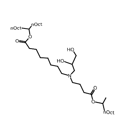 CCCCCCCCC(C)OC(=O)CCCN(CCCCCCCC(=O)OC(CCCCCCCC)CCCCCCCC)CC(O)CO